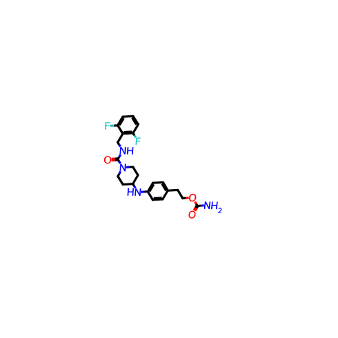 NC(=O)OCCc1ccc(NC2CCN(C(=O)NCc3c(F)cccc3F)CC2)cc1